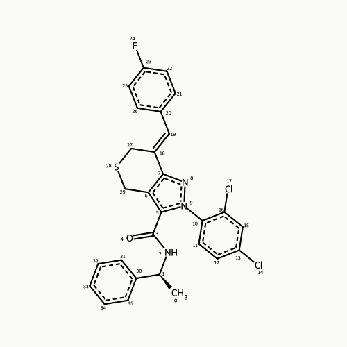 C[C@H](NC(=O)c1c2c(nn1-c1ccc(Cl)cc1Cl)/C(=C/c1ccc(F)cc1)CSC2)c1ccccc1